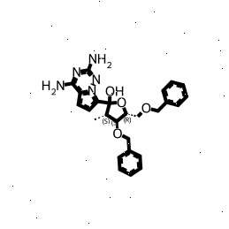 C[C@H]1[C@H](OCc2ccccc2)[C@@H](COCc2ccccc2)OC1(O)c1ccc2c(N)nc(N)nn12